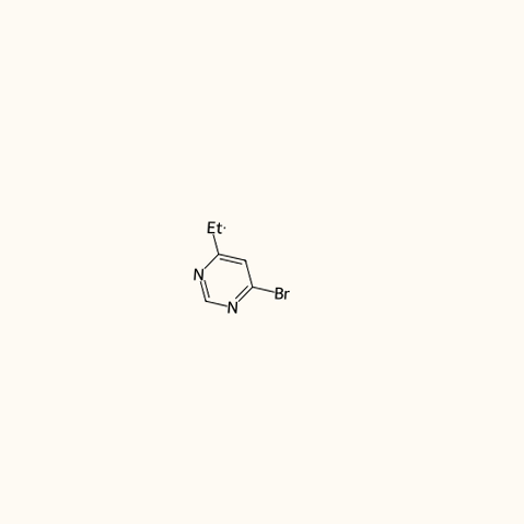 C[CH]c1cc(Br)ncn1